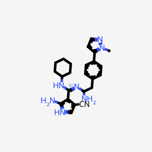 Cn1nccc1-c1ccc(CC(N)/N=C(/NC2CCCCC2)c2c(C#N)c[nH]c2N)cc1